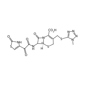 Cn1nnnc1SCC1=C(C(=O)O)N2C(=O)C(NC(=O)C(=O)c3csc(=O)[nH]3)[C@@H]2SC1